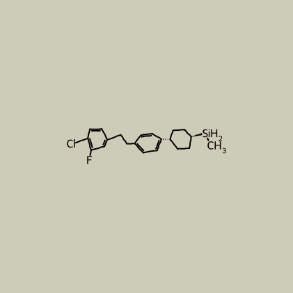 C[SiH2][C@H]1CC[C@H](c2ccc(CCc3ccc(Cl)c(F)c3)cc2)CC1